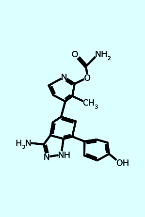 Cc1c(-c2cc(-c3ccc(O)cc3)c3[nH]nc(N)c3c2)ccnc1OC(N)=O